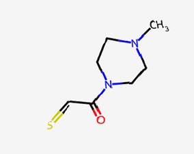 CN1CCN(C(=O)C=S)CC1